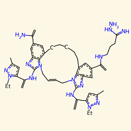 C=C(N)c1cc2c3c(c1)nc(NC(=C)c1cc(C)nn1CC)n3C/C=C/Cn1c(NC(=C)c3cc(C)nn3CC)nc3cc(C(=C)NCCCC(=N)NN)cc(c31)CCCCC2